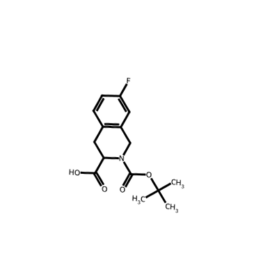 CC(C)(C)OC(=O)N1Cc2cc(F)ccc2CC1C(=O)O